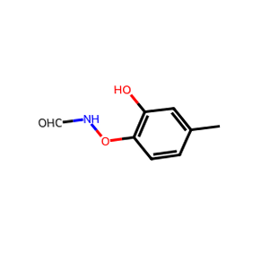 Cc1ccc(ONC=O)c(O)c1